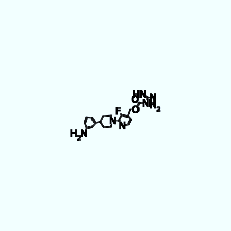 N=C(N)NC(=O)OCc1ccnc(N2CCC(c3cccc(N)c3)CC2)c1F